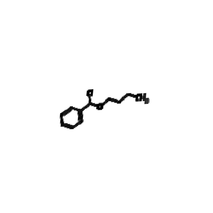 CCCCOC(Cl)c1ccccc1